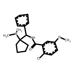 COc1ccc(Cl)c(C(=O)NC(c2ccccc2)C2(N(C)C)CCCC2)c1